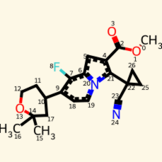 COC(=O)c1cc2c(F)c(C3CCOC(C)(C)C3)ccn2c1C1(C#N)CC1